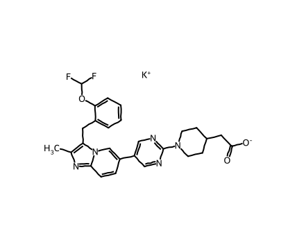 Cc1nc2ccc(-c3cnc(N4CCC(CC(=O)[O-])CC4)nc3)cn2c1Cc1ccccc1OC(F)F.[K+]